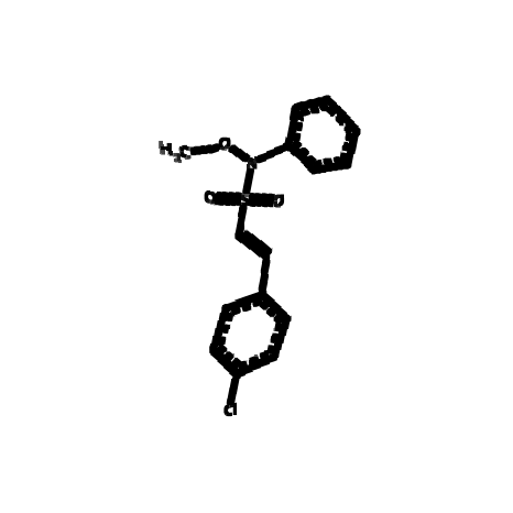 CON(c1ccccc1)S(=O)(=O)C=Cc1ccc(Cl)cc1